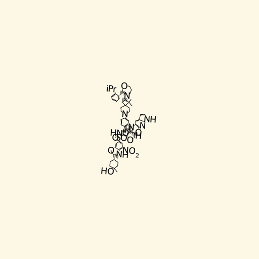 CC(C)c1ccccc1[C@@H]1COCCCN1[C@@H]1CC2(CCN(c3ccc(C(=O)NS(=O)(=O)c4cc5c(c([N+](=O)[O-])c4)N[C@H](C4CCC(C)(O)CC4)CO5)c(N4c5cc6cc[nH]c6nc5O[C@H]5COCC[C@@H]54)c3)CC2)C1(C)C